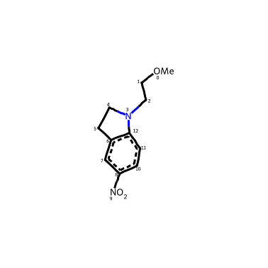 COCCN1CCc2cc([N+](=O)[O-])ccc21